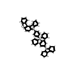 C1=Cc2c(c3ccccc3n2-c2ccc([Si](c3ccccc3)(c3ccccc3)c3ccc(-n4c5ccccc5c5c6c(ccc54)oc4ccccc46)cc3)cc2)CC1